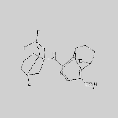 O=C(O)c1cnc(NC23CC4CC(F)(CC(F)(C4)C2)C3)c2c1C1CCC2CC1